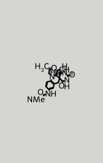 CNC(=O)Nc1ccc2c(c1)CC1(C(=O)NC(=O)NC1=O)[C@H]1[C@H](C)O[C@H](C)CN21